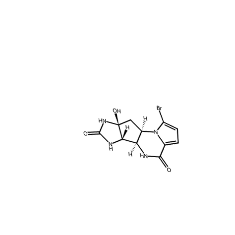 O=C1N[C@H]2[C@@H]3NC(=O)c4ccc(Br)n4[C@@H]3C[C@@]2(O)N1